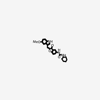 COc1ccc2[nH]cc(C=C3Oc4ccc(NC(=O)NC5CCCCC5)cc4C3=O)c2c1